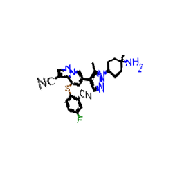 Cc1c(-c2cc(Sc3ccc(F)cc3C#N)c3c(C#N)cnn3c2)cnn1C1CCC(C)(N)CC1